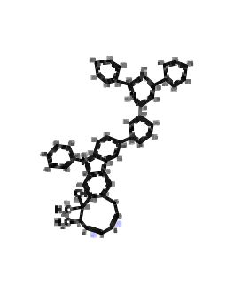 C=C1/C=C\C=C/Cc2cc3c4cc(-c5cccc(-c6cc(-c7ccccc7)nc(-c7ccccc7)n6)c5)ccc4n(-c4ccccc4)c3cc2C1(C)C